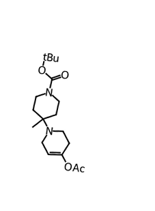 CC(=O)OC1=CCN(C2(C)CCN(C(=O)OC(C)(C)C)CC2)CC1